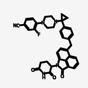 N#Cc1ccc(N2CCN(C3(c4ccc(Cc5ccc6c7c(cccc57)C(=O)N6C5CCC(=O)NC5=O)cc4)CC3)CC2)c(F)c1